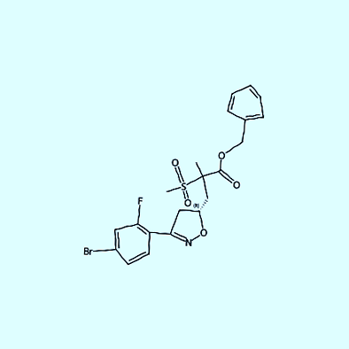 CC(C[C@H]1CC(c2ccc(Br)cc2F)=NO1)(C(=O)OCc1ccccc1)S(C)(=O)=O